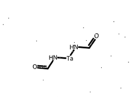 O=C[NH][Ta][NH]C=O